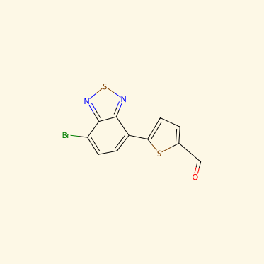 O=Cc1ccc(-c2ccc(Br)c3nsnc23)s1